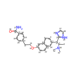 CC(C(c1ccc2cc(OCCc3ccc(C(N)=O)cc3)ccc2c1)c1ncc[nH]1)N(C)C